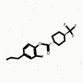 CCCc1ccc(OC(=O)[C@H]2CC[C@H](C(F)(F)F)CC2)c(F)c1